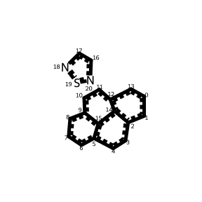 c1cc2ccc3cccc4ccc(c1)c2c34.c1cnsn1